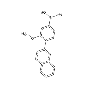 COc1cc(B(O)O)ccc1-c1ccc2ccccc2c1